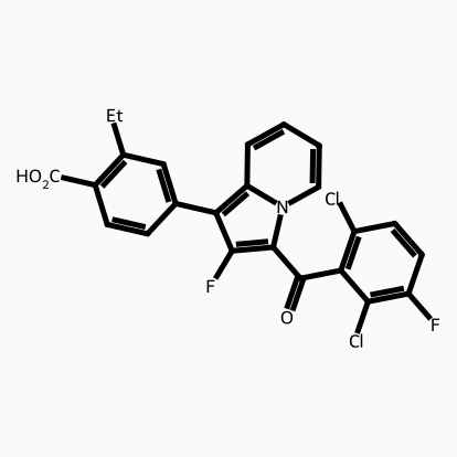 CCc1cc(-c2c(F)c(C(=O)c3c(Cl)ccc(F)c3Cl)n3ccccc23)ccc1C(=O)O